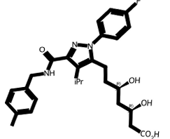 Cc1ccc(CNC(=O)c2nn(-c3ccc(F)cc3)c(CC[C@@H](O)C[C@@H](O)CC(=O)O)c2C(C)C)cc1